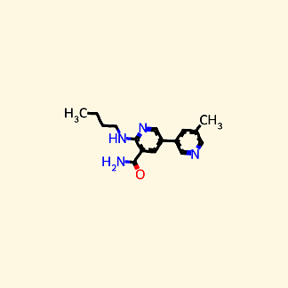 CCCCNc1ncc(-c2cncc(C)c2)cc1C(N)=O